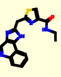 CCNC(=O)c1csc(Cc2nc3cnc4ccccc4c3[nH]2)n1